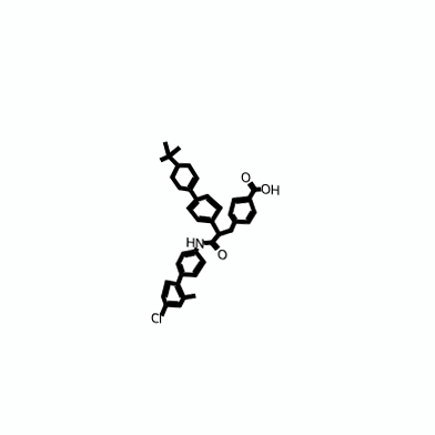 Cc1cc(Cl)ccc1-c1ccc(NC(=O)C(Cc2ccc(C(=O)O)cc2)c2ccc(C3=CCC(C(C)(C)C)CC3)cc2)cc1